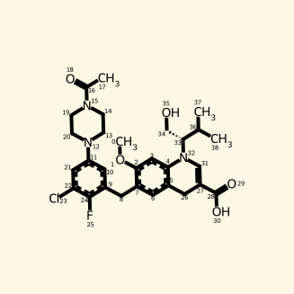 COc1cc2c(cc1Cc1cc(N3CCN(C(C)=O)CC3)cc(Cl)c1F)CC(C(=O)O)=CN2[C@H](CO)C(C)C